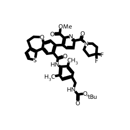 COC(=O)c1nc(C(=O)N2CCC(F)(F)CC2)ccc1-c1cc2c(cc1C(=O)Nc1c(C)cc(CNC(=O)OC(C)(C)C)cc1C)-c1sccc1CCO2